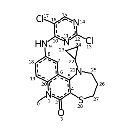 Cn1c(=O)c2c(c3cc(Nc4nc(Cl)ncc4Cl)ccc31)N(C1CC1)CCCS2